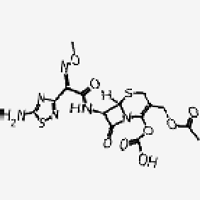 CO/N=C(\C(=O)N[C@@H]1C(=O)N2C(OC(=O)O)=C(COC(C)=O)CS[C@@H]12)c1nsc(N)n1